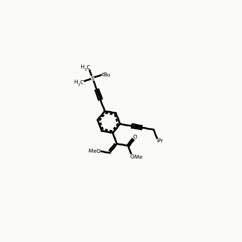 CO/C=C(/C(=O)OC)c1ccc(C#CS(C)(C)C(C)(C)C)cc1C#CCC(C)C